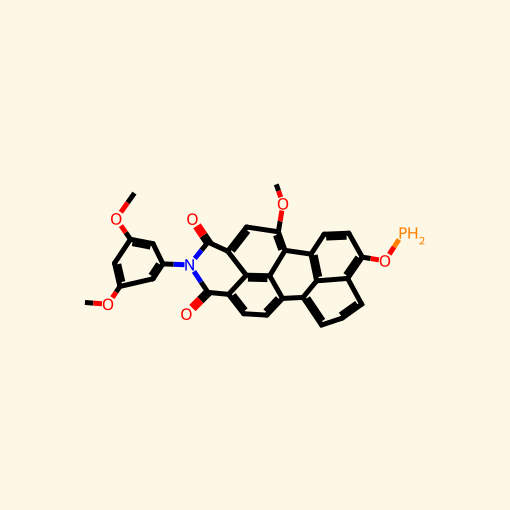 COc1cc(OC)cc(N2C(=O)c3ccc4c5cccc6c(OP)ccc(c7c(OC)cc(c3c47)C2=O)c65)c1